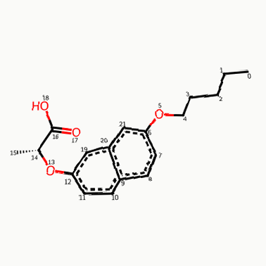 CCCCCOc1ccc2ccc(O[C@H](C)C(=O)O)cc2c1